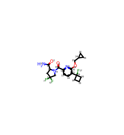 NC(=O)C1CC(F)(F)CN1C(=O)c1ccc(C2(F)CCC2)c(OCC2CC2)n1